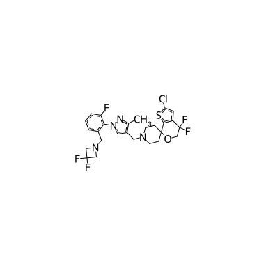 Cc1nn(-c2c(F)cccc2CN2CC(F)(F)C2)cc1CN1CCC2(CC1)OCC(F)(F)c1cc(Cl)sc12